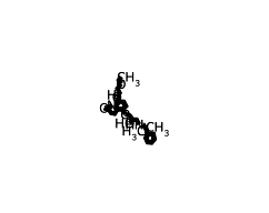 CCOCCOc1ccc(OCC(O)CNCC(C)(C)c2ccccc2)c2c1NC(=O)CC2